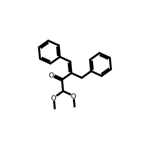 COC(OC)C(=O)C(=Cc1ccccc1)Cc1ccccc1